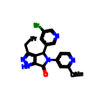 COc1cc(N2C(=O)c3[nH]nc(CC(C)C)c3C2c2cncc(Br)c2)ccn1